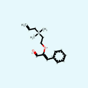 C=CC[Si](C)(C)CCOC([C]=O)=Cc1ccccc1